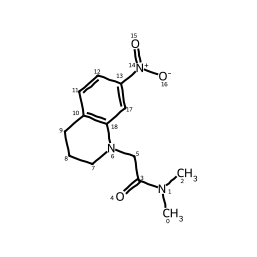 CN(C)C(=O)CN1CCCc2ccc([N+](=O)[O-])cc21